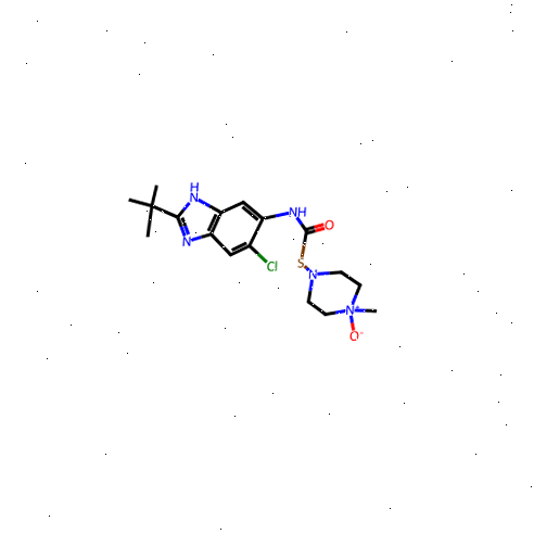 CC(C)(C)c1nc2cc(Cl)c(NC(=O)SN3CC[N+](C)([O-])CC3)cc2[nH]1